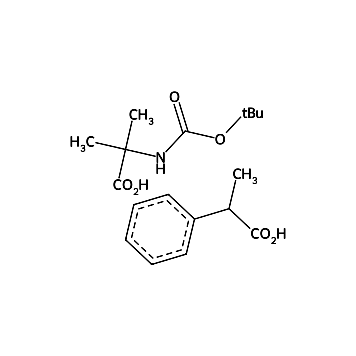 CC(C(=O)O)c1ccccc1.CC(C)(C)OC(=O)NC(C)(C)C(=O)O